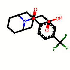 O=C(O)CC1CC2CCCC(C1)N2C(=O)c1ccc(C(F)(F)F)cc1